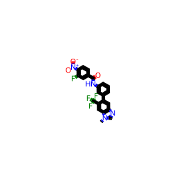 Cn1cnc2cc(-c3cccc(NC(=O)c4ccc([N+](=O)[O-])c(F)c4)c3)c(C(F)(F)F)cc21